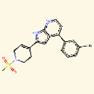 CS(=O)(=O)N1CC=C(c2cc3c(-c4cccc(C#N)c4)ccnc3[nH]2)CC1